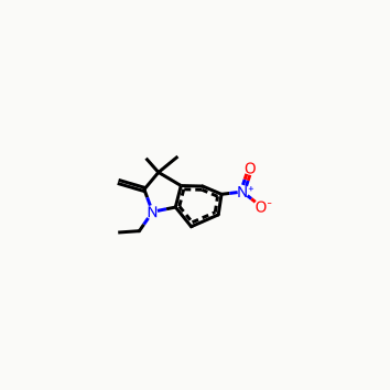 C=C1N(CC)c2ccc([N+](=O)[O-])cc2C1(C)C